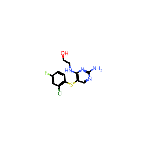 Nc1ncc(Sc2ccc(F)cc2Cl)c(NCCO)n1